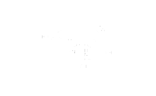 CCCCC(NCC(CC(C)C)NC(=O)COc1cccc(OC)c1)C(=O)CSCc1ccco1